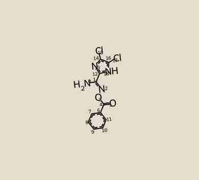 NC(=NOC(=O)c1ccccc1)c1nc(Cl)c(Cl)[nH]1